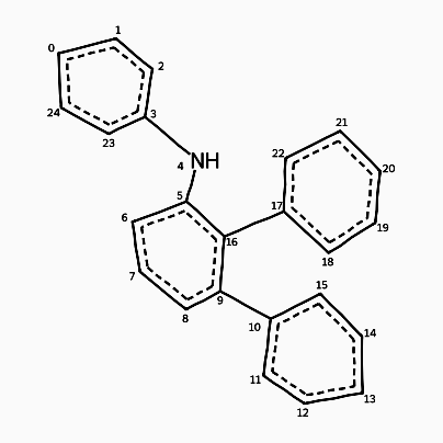 c1ccc(Nc2cccc(-c3ccccc3)c2-c2ccccc2)cc1